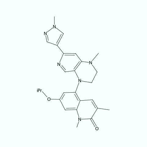 Cc1cc2c(N3CCN(C)c4cc(-c5cnn(C)c5)ncc43)cc(OC(C)C)cc2n(C)c1=O